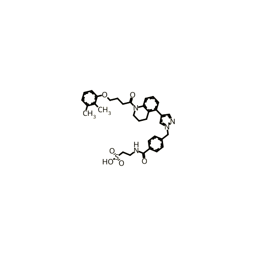 Cc1cccc(OCCCC(=O)N2CCCc3c(-c4cnn(Cc5ccc(C(=O)NCCS(=O)(=O)O)cc5)c4)cccc32)c1C